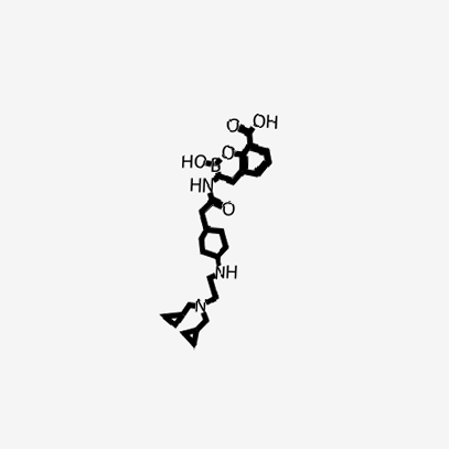 O=C(CC1CCC(NCCN(CC2CC2)CC2CC2)CC1)NC1Cc2cccc(C(=O)O)c2OB1O